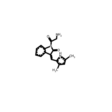 Cc1cc(C)c(/C=C2\C(=O)N(C(=O)CN)c3ccccc32)[nH]1